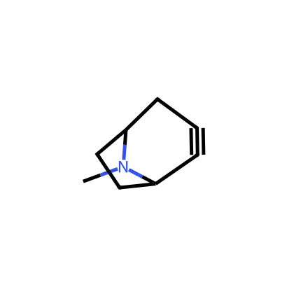 CN1C2C#CCC1CC2